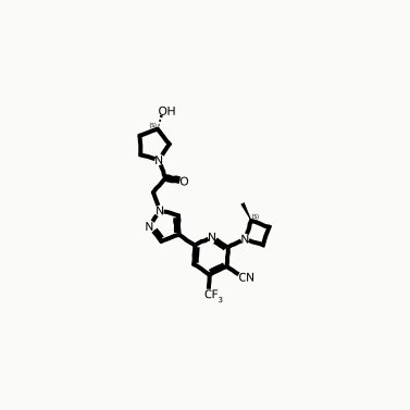 C[C@H]1CCN1c1nc(-c2cnn(CC(=O)N3CC[C@H](O)C3)c2)cc(C(F)(F)F)c1C#N